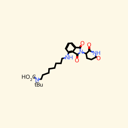 CC(C)(C)N(CCCCCCCCNc1cccc2c1C(=O)N(C1CCC(=O)NC1=O)C2=O)C(=O)O